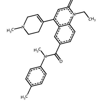 CCn1c(=O)cc(C2=CCN(C)CC2)c2cc(C(=O)N(C)c3ccc(C)cc3)ccc21